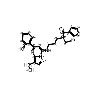 CBc1cnn2c(NCCCN(CI)C(=O)c3ccoc3)cc(-c3ccccc3O)nc12